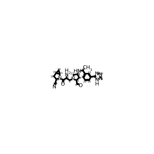 CC(N[C@H]1CC(C=O)N(CC(N)C(=O)N2C(C#N)CC3CC32)C1)c1cccc(-c2nnn[nH]2)c1